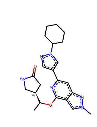 CC(Oc1nc(-c2cnn(C3CCCCC3)c2)cc2nn(C)cc12)[C@H]1CNC(=O)C1